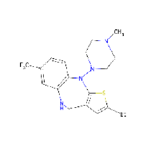 CCc1cc2c(s1)N(N1CCN(C)CC1)c1ccc(C(F)(F)F)cc1NC2